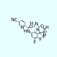 N#Cc1ccc(C(=O)Nc2cc(F)c(F)c([C@@]3(CF)N=C(N)O[C@H]4C[C@H]43)c2)nc1